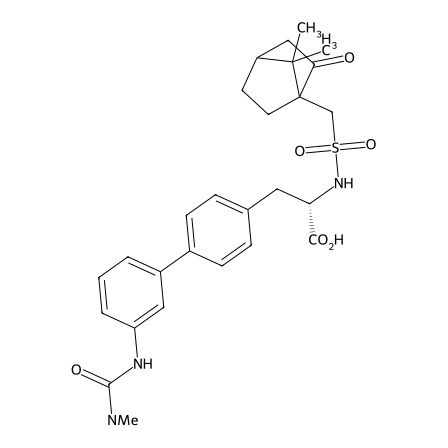 CNC(=O)Nc1cccc(-c2ccc(C[C@H](NS(=O)(=O)CC34CCC(CC3=O)C4(C)C)C(=O)O)cc2)c1